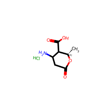 C[C@@H]1OC(=O)CC(N)C1C(=O)O.Cl